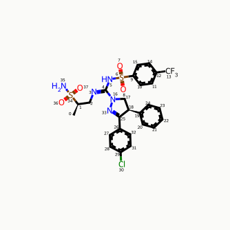 C[C@H](C/N=C(/NS(=O)(=O)c1ccc(C(F)(F)F)cc1)N1C[C@@H](c2ccccc2)C(c2ccc(Cl)cc2)=N1)S(N)(=O)=O